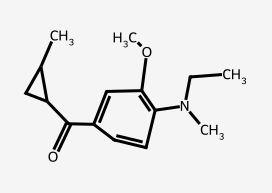 CCN(C)c1ccc(C(=O)C2CC2C)cc1OC